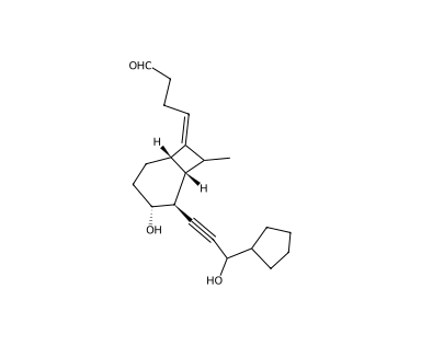 CC1/C(=C/CCC=O)[C@H]2CC[C@@H](O)[C@H](C#CC(O)C3CCCC3)[C@@H]12